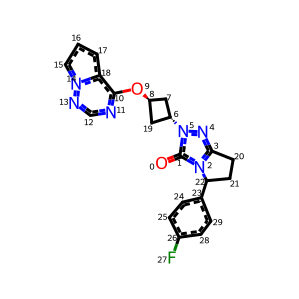 O=c1n2c(nn1[C@H]1C[C@H](Oc3ncnn4cccc34)C1)CCC2c1ccc(F)cc1